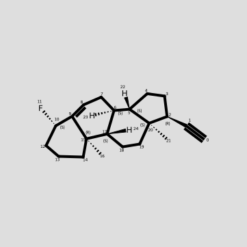 C#C[C@@H]1CC[C@H]2[C@@H]3CC=C4[C@@H](F)CCC[C@]4(C)[C@H]3CC[C@]12C